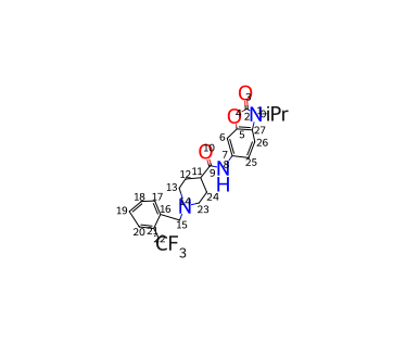 CC(C)n1c(=O)oc2cc(NC(=O)C3CCN(Cc4ccccc4C(F)(F)F)CC3)ccc21